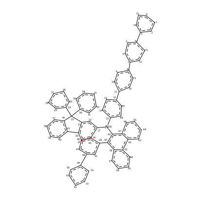 c1ccc(-c2ccc(-c3ccc(-c4ccc(N(c5ccc6c(c5)C(c5ccccc5)(c5ccccc5)c5ccccc5-6)c5c(-c6cccc(-c7ccccc7)c6)c6ccccc6c6ccccc56)cc4)cc3)cc2)cc1